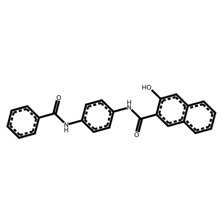 O=C(Nc1ccc(NC(=O)c2cc3ccccc3cc2O)cc1)c1ccccc1